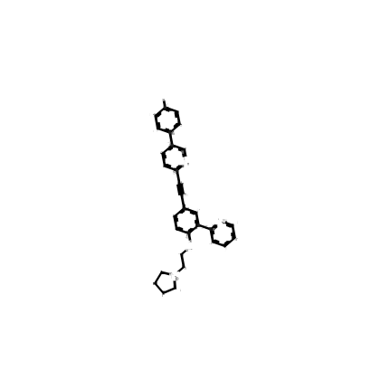 Clc1ccc(-c2ccc(C#Cc3ccc(OCCN4CCCC4)c(-c4ccccn4)c3)nc2)cc1